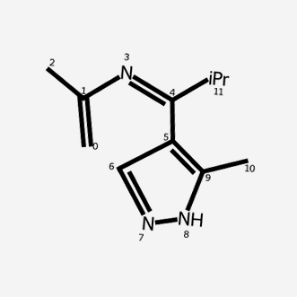 C=C(C)/N=C(\c1cn[nH]c1C)C(C)C